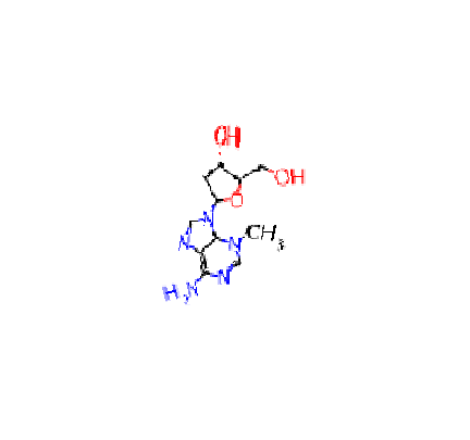 CN1C=NC(N)=C2N=CN([C@H]3C[C@H](O)[C@@H](CO)O3)C21